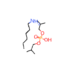 CC(C)COP(=O)(O)OCC(C)C.CCCCCCN